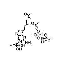 CC(=O)OCC(CCn1cnc2cnc(N)nc21)COC(C)=O.O=P(O)(O)O.O=P(O)(O)O.O=P(O)(O)O